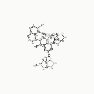 C#Cc1c(F)ccc2cccc(-c3nc(C#C)c4c(N5CC6CCC(C5)N6)nc(OC[C@@]56CCCN5C[C@H](F)C6)nc4c3F)c12